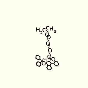 C=C(C)COOCCOCCOCCOC(=O)c1c2c(c3ccccc3c1-c1ccccc1)OC(c1ccccc1)(c1ccccc1)C=C2